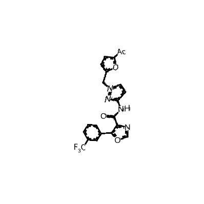 CC(=O)c1ccc(Cn2ccc(NC(=O)c3ncoc3-c3cccc(C(F)(F)F)c3)n2)o1